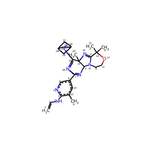 C=CNc1ncc(C2=NC3N4CCOC(C)(C)C4=NC3(C)C(N3CC4CC3C4)=N2)cc1C